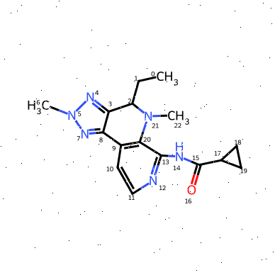 CCC1c2nn(C)nc2-c2ccnc(NC(=O)C3CC3)c2N1C